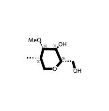 CO[C@@H]1[C@H](O)[C@H](CO)OC[C@@H]1C